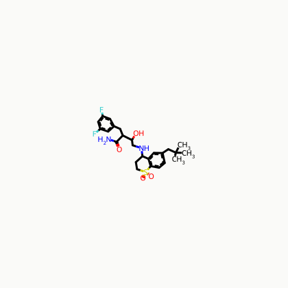 CC(C)(C)Cc1ccc2c(c1)C(NCC(O)C(Cc1cc(F)cc(F)c1)C(N)=O)CCS2(=O)=O